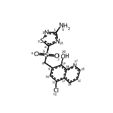 Nc1nsc(S(=O)(=O)Cc2cc(Cl)c3cccnc3c2O)n1